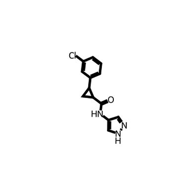 O=C(Nc1cn[nH]c1)C1CC1c1cccc(Cl)c1